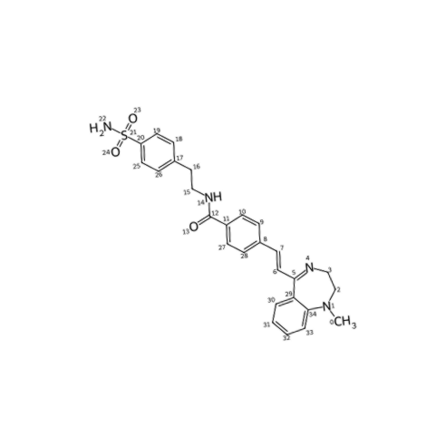 CN1CCN=C(C=Cc2ccc(C(=O)NCCc3ccc(S(N)(=O)=O)cc3)cc2)c2ccccc21